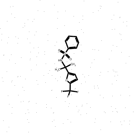 CC(C)(NS(=O)(=O)c1ccccc1)c1ccc(C(F)(F)F)o1